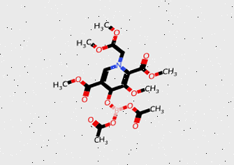 COC(=O)C1=CN(CC(OC)OC)C(C(=O)OC)=C(OC)C1OB(OC(C)=O)OC(C)=O